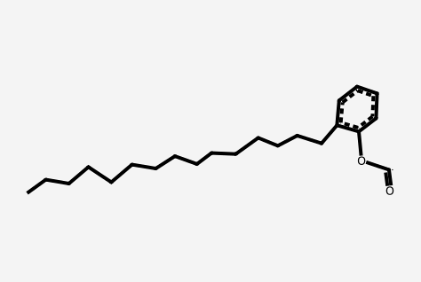 CCCCCCCCCCCCCCCc1ccccc1O[C]=O